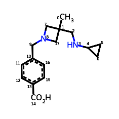 CC1(CNC2CC2)CN(Cc2ccc(C(=O)O)cc2)C1